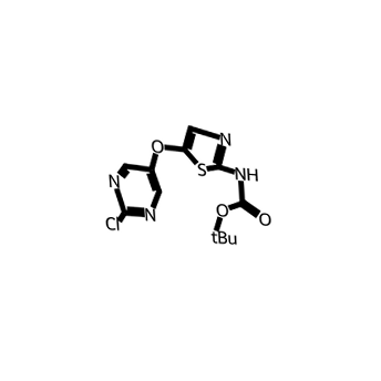 CC(C)(C)OC(=O)Nc1ncc(Oc2cnc(Cl)nc2)s1